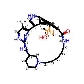 C[PH](C)(O)c1c2ccc3c(c[nH]c13)-c1nc(ncc1C(F)(F)F)N[C@H]1CCCN(CCCCCNC2=O)C1